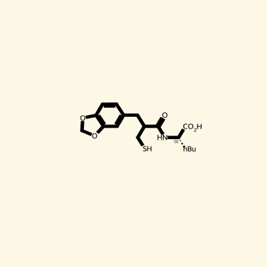 CCCC[C@H](NC(=O)C(CS)Cc1ccc2c(c1)OCO2)C(=O)O